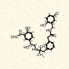 CC(C)(Cc1cccc(CC(=O)NCc2cc(Cl)ccc2O)c1)NC[C@H](O)c1ccc(O)c(NC=O)c1